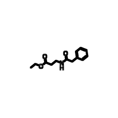 CCOC(=O)CCNC(=O)Cc1ccccc1